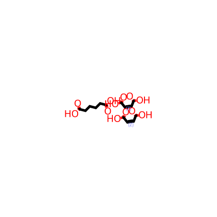 O=C(O)/C=C\C(=O)O.O=C(O)/C=C\C(=O)O.O=C(O)CCCCC(=O)O